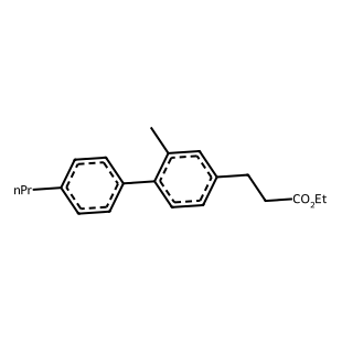 CCCc1ccc(-c2ccc(CCC(=O)OCC)cc2C)cc1